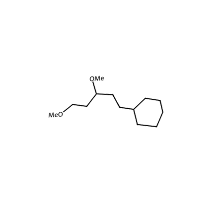 COCCC(CCC1CCCCC1)OC